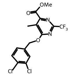 COC(=O)c1nc(C(F)(F)F)nc(OCc2ccc(Cl)c(Cl)c2)c1C